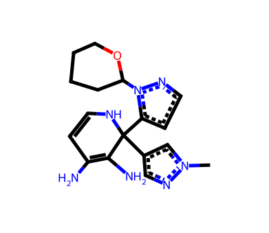 Cn1cc(C2(c3ccnn3C3CCCCO3)NC=CC(N)=C2N)cn1